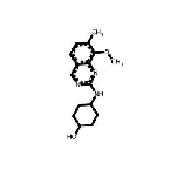 COc1c(C)ccc2cnc(NC3CCC(O)CC3)nc12